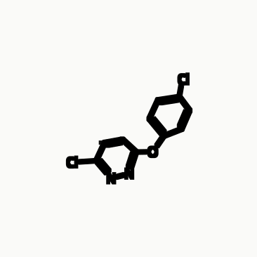 Clc1ccc(Oc2c[c]c(Cl)nn2)cc1